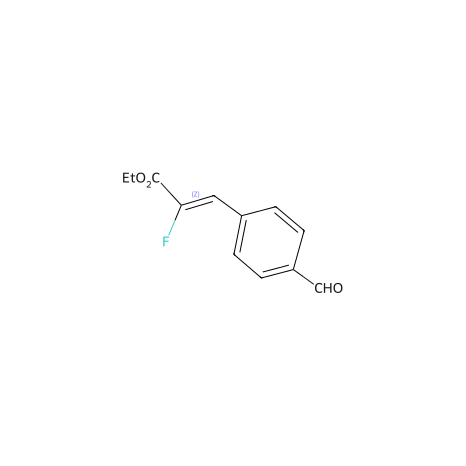 CCOC(=O)/C(F)=C/c1ccc(C=O)cc1